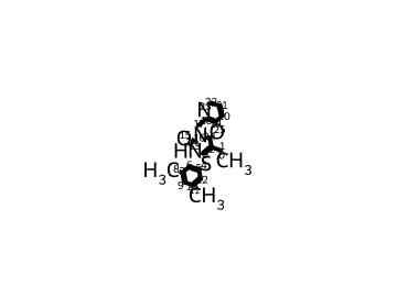 CCc1c(Sc2cc(C)cc(C)c2)[nH]c(=O)n(Cc2ccccn2)c1=O